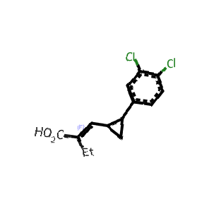 CC/C(=C\C1CC1c1ccc(Cl)c(Cl)c1)C(=O)O